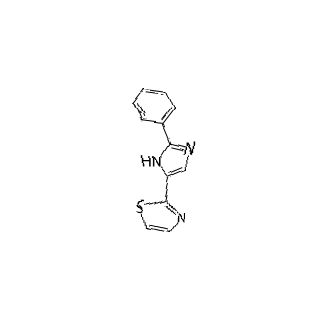 c1ccc(-c2ncc(-c3nccs3)[nH]2)cc1